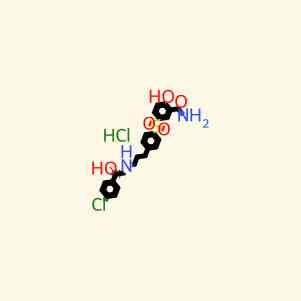 Cl.NC(=O)c1cc(S(=O)(=O)c2ccc(CCCNC[C@@H](O)c3ccc(Cl)cc3)cc2)ccc1O